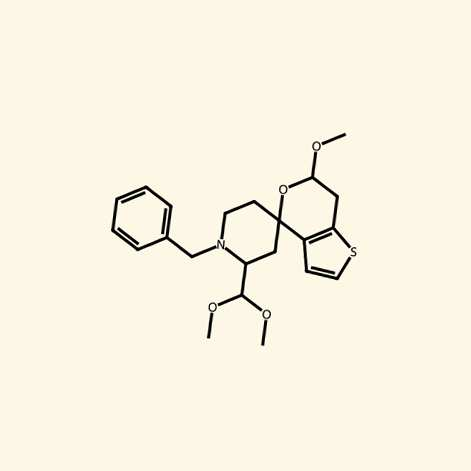 COC1Cc2sccc2C2(CCN(Cc3ccccc3)C(C(OC)OC)C2)O1